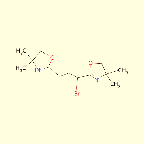 CC1(C)COC(C(Br)CCC2NC(C)(C)CO2)=N1